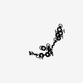 CN(C)CCCOc1ccc(-c2ccc3ncc4c(c3c2)n(C2CCOCC2)c(=O)n4CCCCCO[C@H]2CC[C@H]3[C@@H]4CC[C@H]5CC(=O)CC[C@]5(C)[C@H]4CC[C@]23C)cn1